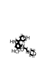 Cl.c1[nH]c2ccc3oc(CCN4CCOCC4)nc3c2c1C1CCNCC1